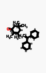 C=C(c1ccccc1)c1ccccc1.CC1=C(C)C(=O)CC(C)(C)C1